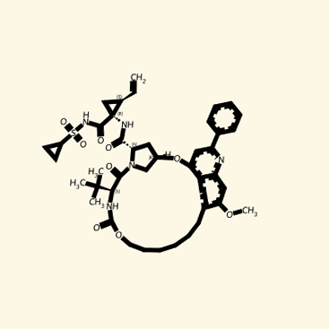 C=C[C@@H]1C[C@]1(NC(=O)[C@@H]1C[C@@H]2CN1C(=O)[C@H](C(C)(C)C)NC(=O)OCCCCCCc1cc3c(cc(-c4ccccc4)nc3cc1OC)O2)C(=O)NS(=O)(=O)C1CC1